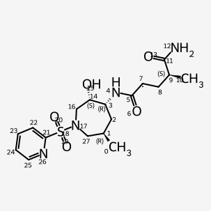 C[C@@H]1C[C@@H](NC(=O)[CH]C[C@H](C)C(N)=O)[C@@H](O)CN(S(=O)(=O)c2ccccn2)C1